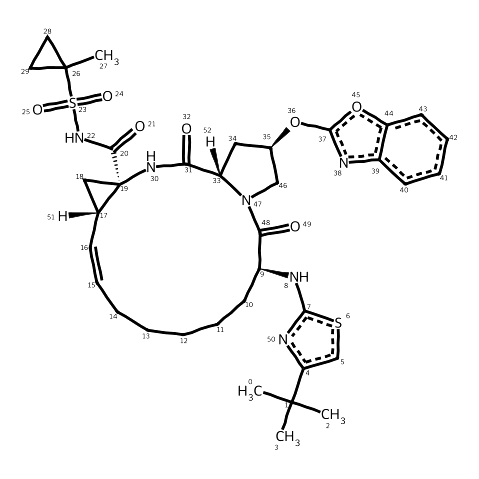 CC(C)(C)c1csc(N[C@H]2CCCCC/C=C\[C@@H]3C[C@@]3(C(=O)NS(=O)(=O)C3(C)CC3)NC(=O)[C@@H]3C[C@@H](Oc4nc5ccccc5o4)CN3C2=O)n1